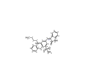 CCCCNc1cc(/C=C2\C(=O)Nc3ccccc32)cc(S(N)(=O)=O)c1Cc1ccccc1